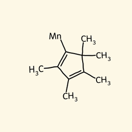 CC1=C(C)C(C)(C)[C]([Mn])=C1C